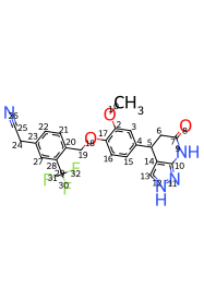 COc1cc(C2CC(=O)Nc3n[nH]cc32)ccc1OCc1ccc(CC#N)cc1C(F)(F)F